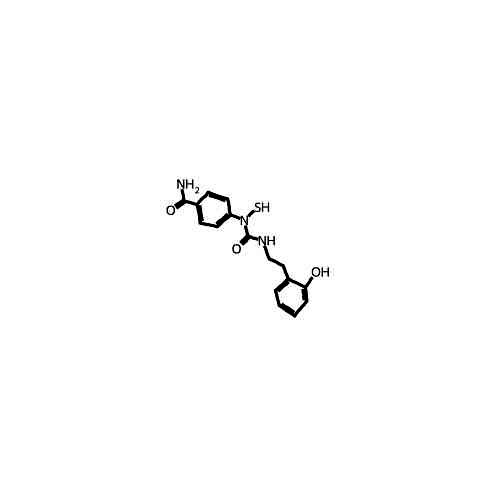 NC(=O)c1ccc(N(S)C(=O)NCCc2ccccc2O)cc1